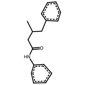 CC(CC(=O)Nc1ccccc1)Cc1ccccc1